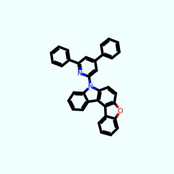 c1ccc(-c2cc(-c3ccccc3)nc(-n3c4ccccc4c4c5c(ccc43)oc3ccccc35)c2)cc1